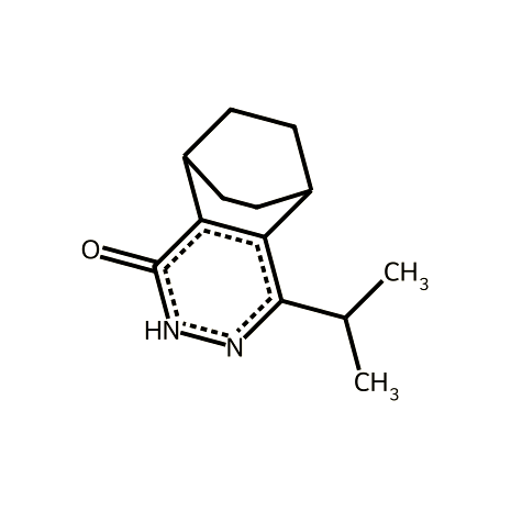 CC(C)c1n[nH]c(=O)c2c1C1CCC2CC1